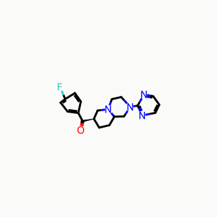 O=C(c1ccc(F)cc1)[C@@H]1CCC2CN(c3ncccn3)CCN2C1